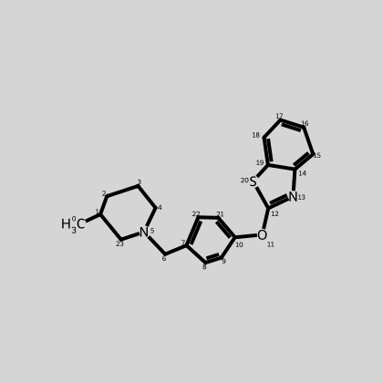 CC1CCCN(Cc2ccc(Oc3nc4ccccc4s3)cc2)C1